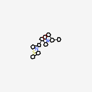 c1ccc(-c2ccc(N(c3ccccc3)c3ccccc3-c3ccccc3-c3ccc4c(c3)c3ccccc3n4-c3cccc4c3sc3ccccc34)c(-c3ccccc3)c2)cc1